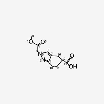 COC(=O)Cn1cc2c(n1)CCC(C(=O)O)C2